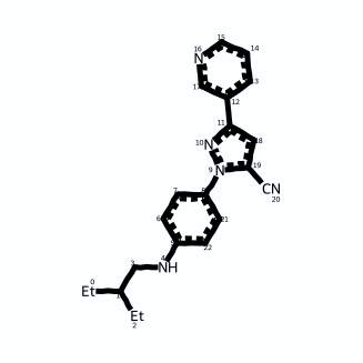 CCC(CC)CNc1ccc(-n2nc(-c3cccnc3)cc2C#N)cc1